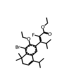 CCOC(=O)C(F)=C(c1cc2c(c(Br)c1OCC)C(C)(C)CC=C2C(C)C)C(C)C